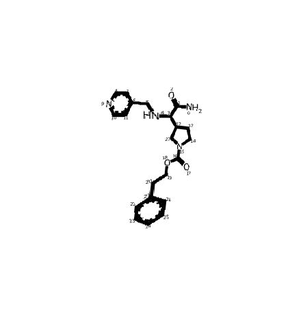 NC(=O)C(NCc1ccncc1)C1CCN(C(=O)OCCc2ccccc2)C1